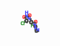 O=C(c1cc(Cn2c(=O)[nH]c(=O)c3cc(Cl)ccc32)ccc1F)N1CCN(c2ccccn2)CC1